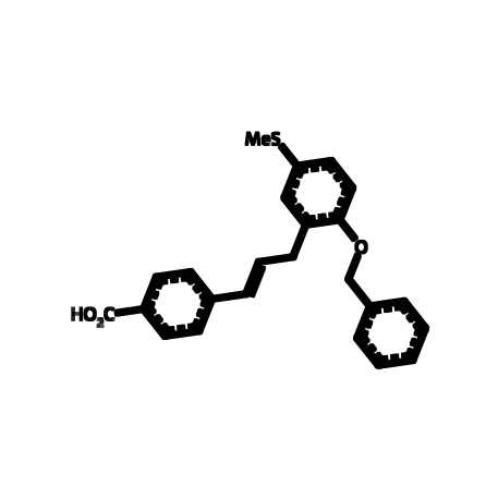 CSc1ccc(OCc2ccccc2)c(CC=Cc2ccc(C(=O)O)cc2)c1